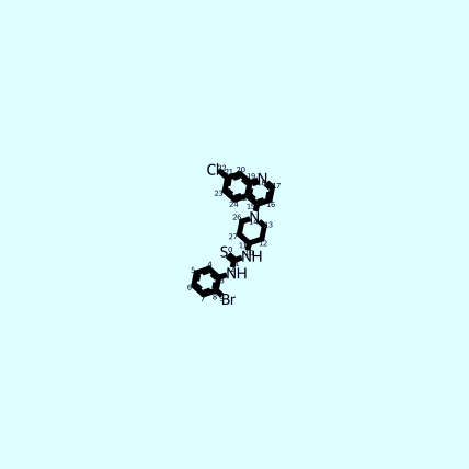 S=C(Nc1ccccc1Br)NC1CCN(c2ccnc3cc(Cl)ccc23)CC1